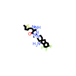 Cc1ccc(-c2n[nH]c3nc(N4CCC5(CC4)Cc4cc(F)c(F)c(F)c4[C@H]5N)n(C)c(=O)c23)s1